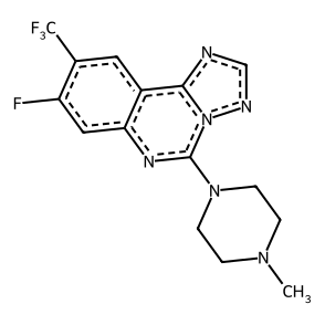 CN1CCN(c2nc3cc(F)c(C(F)(F)F)cc3c3ncnn23)CC1